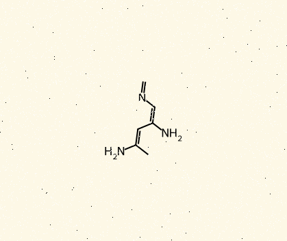 C=N/C=C(N)\C=C(/C)N